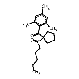 CCCCC[P](=O)C1(C(=O)c2c(C)cc(C)cc2C)CCCC1